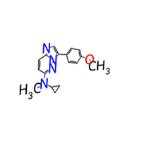 COc1ccc(-c2cnc3ccc(N(C)C4CC4)nn23)cc1